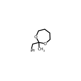 CC(C)CC1(C)OCCCCO1